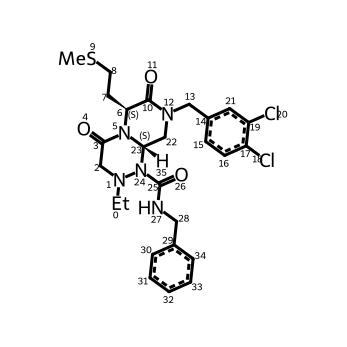 CCN1CC(=O)N2[C@@H](CCSC)C(=O)N(Cc3ccc(Cl)c(Cl)c3)C[C@@H]2N1C(=O)NCc1ccccc1